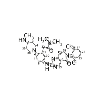 CNC1CCN(c2ccc(Nc3ncc4c(n3)SCN(c3c(Cl)cccc3Cl)C4=O)cc2CC(=O)N(C)C)CC1